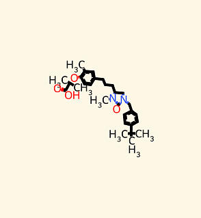 Cc1cc(CCCC2CN(Cc3ccc(C(C)(C)C)cc3)C(=O)N2C)ccc1OC(C)(C)C(=O)O